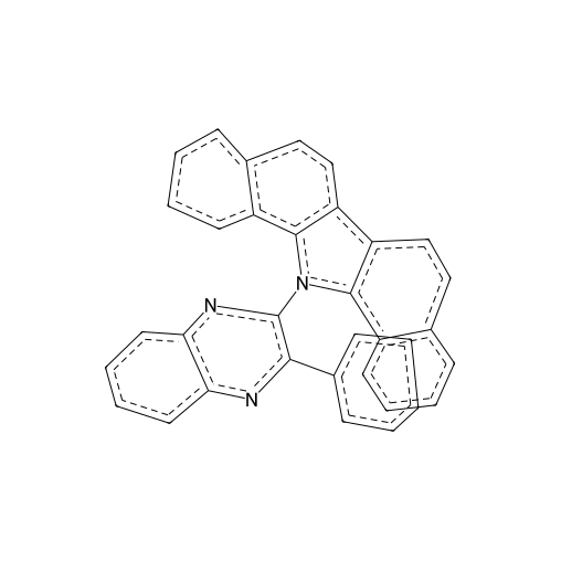 c1ccc(-c2nc3ccccc3nc2-n2c3c4ccccc4ccc3c3ccc4ccccc4c32)cc1